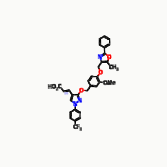 COc1cc(COc2nn(-c3ccc(C(F)(F)F)cc3)cc2/C=C/C(=O)O)ccc1OCc1nc(-c2ccccc2)oc1C